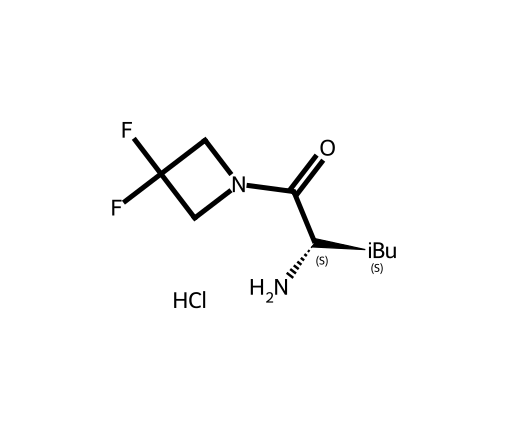 CC[C@H](C)[C@H](N)C(=O)N1CC(F)(F)C1.Cl